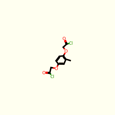 Cc1cc(OCC(=O)Cl)ccc1OCC(=O)Cl